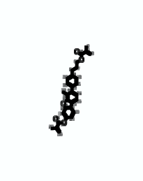 C=C(C)C(=O)OCCCc1ccc(-c2ccc3c(oc4cc(OC(=O)C(=C)C)ccc43)c2C)cc1